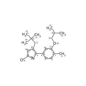 Cc1ccc(-c2nc(Cl)sc2CC(C)(C)C)cc1OCC(C)C